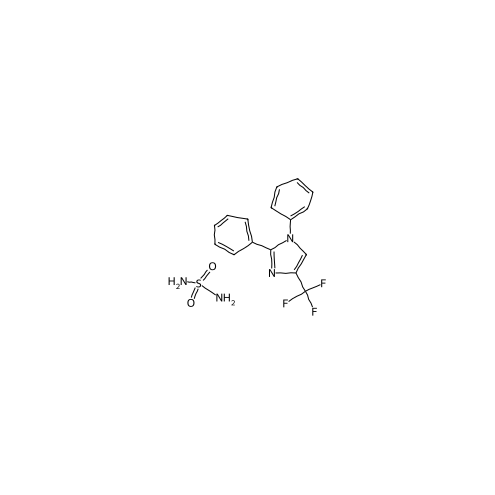 FC(F)(F)c1cn(-c2ccccc2)c(-c2ccccc2)n1.NS(N)(=O)=O